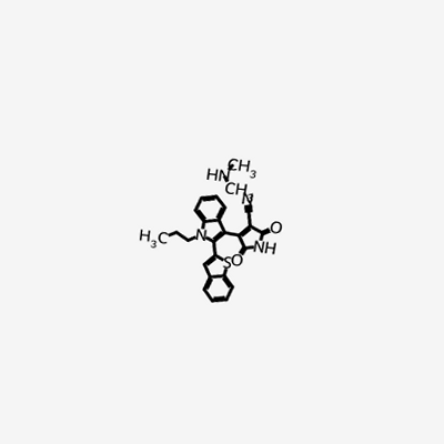 CCCn1c(-c2cc3ccccc3s2)c(C2=C(C#N)C(=O)NC2=O)c2ccccc21.CNC